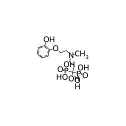 CN(CCOc1ccccc1O)CCC(O)(P(=O)(O)O)P(=O)(O)O